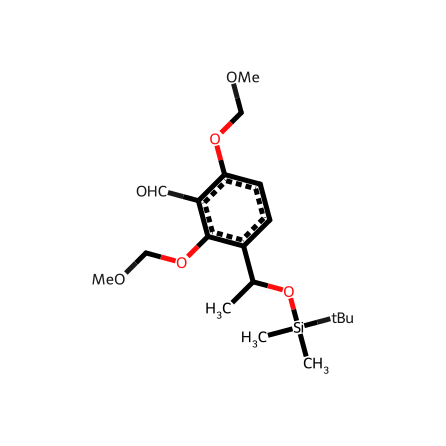 COCOc1ccc(C(C)O[Si](C)(C)C(C)(C)C)c(OCOC)c1C=O